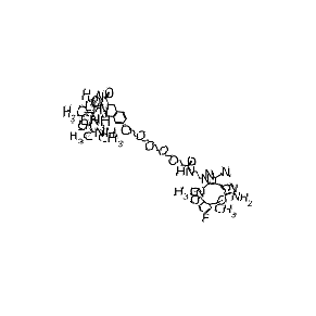 CN[C@H](C)C(=O)N[C@@H](C(=O)N1Cc2cc(OCCOCCOCCOCCOCCC(=O)NCCn3nc(C#N)c4c3CN(C)C(=O)c3ccc(F)cc3[C@@H](C)Oc3cc-4cnc3N)ccc2C[C@@H]1C(N)=O)C(C)(C)C